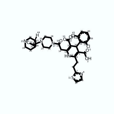 O=C(O)C1=C(CCc2nccs2)NC(CC(=O)N2CCN([C@H]3CN4CCC3CC4)CC2)=C(C(=O)O)C1c1c(Cl)cccc1Cl